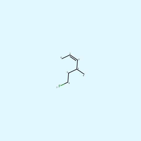 C/C=C\C(C)CCF